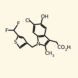 Cc1c(CC(=O)O)c2cc(O)c(Cl)cc2n1Cc1csc(C(F)F)c1